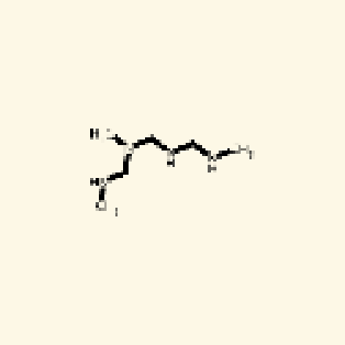 CNCNCN(C)CNC